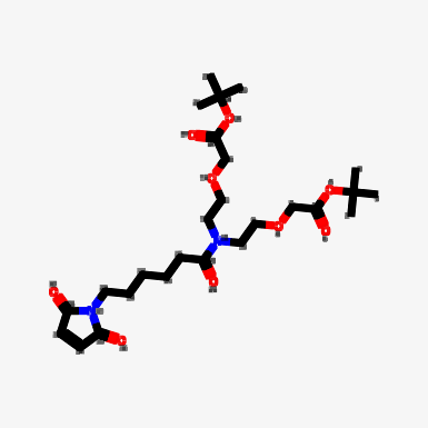 CC(C)(C)OC(=O)COCCN(CCOCC(=O)OC(C)(C)C)C(=O)CCCCCN1C(=O)C=CC1=O